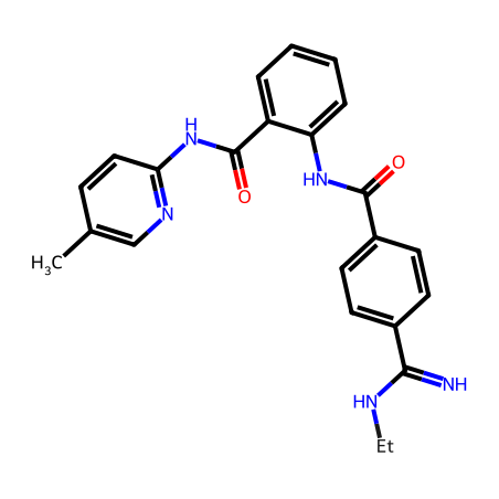 CCNC(=N)c1ccc(C(=O)Nc2ccccc2C(=O)Nc2ccc(C)cn2)cc1